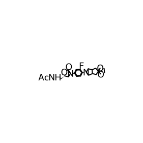 CC(=O)NC[C@H]1CN(c2ccc(N3CC4CC5(CC4C3)OCCO5)c(F)c2)C(=O)O1